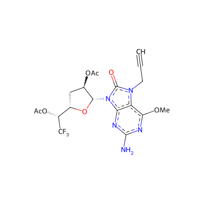 C#CCn1c(=O)n([C@@H]2O[C@H]([C@@H](OC(C)=O)C(F)(F)F)C[C@H]2OC(C)=O)c2nc(N)nc(OC)c21